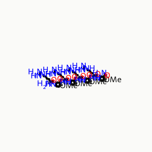 COc1ccc(NC(=O)[C@@H](CCCCNC(=N)N)NC(=O)c2cc(NC(=O)[C@@H](CCCCNC(=N)N)NC(=O)c3cc(NC(=O)[C@@H](CCCCNC(=N)N)NC(=O)c4cc(NC(=O)[C@H](N)CCCCNC(=N)N)ccc4OC)ccc3OC)ccc2OC)cc1C(N)=O